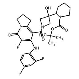 CC(C)(C)OC(=O)N1CCCCC1C1(O)CN(C(=O)c2c(Nc3ccc(I)cc3F)c(F)c(=O)n3c2CCC3)C1